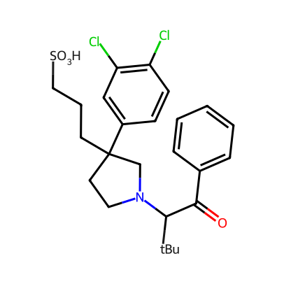 CC(C)(C)C(C(=O)c1ccccc1)N1CCC(CCCS(=O)(=O)O)(c2ccc(Cl)c(Cl)c2)C1